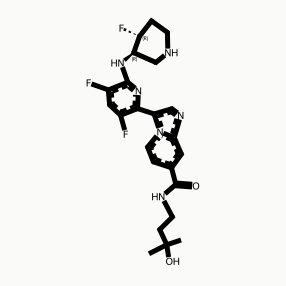 CC(C)(O)CCNC(=O)c1ccn2c(-c3nc(N[C@@H]4CNCC[C@H]4F)c(F)cc3F)cnc2c1